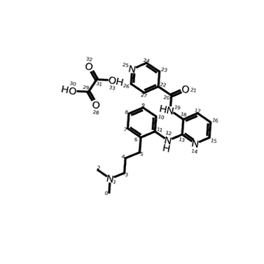 CN(C)CCCc1ccccc1Nc1ncccc1NC(=O)c1ccncc1.O=C(O)C(=O)O